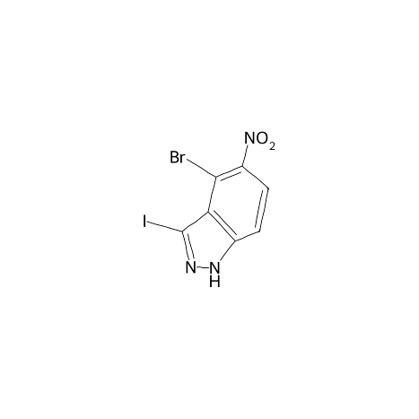 O=[N+]([O-])c1ccc2[nH]nc(I)c2c1Br